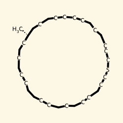 C[C@H]1CCCCCCCCCCCCCCCCCCSCCCCCCCCCCCCC1